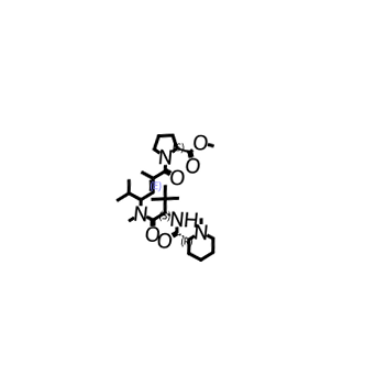 COC(=O)[C@@H]1CCCN1C(=O)/C(C)=C/C(C(C)C)N(C)C(=O)[C@@H](NC(=O)[C@H]1CCCCN1C)C(C)(C)C